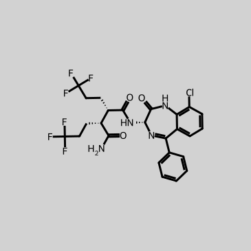 NC(=O)[C@H](CCC(F)(F)F)[C@H](CCC(F)(F)F)C(=O)N[C@H]1N=C(c2ccccc2)c2cccc(Cl)c2NC1=O